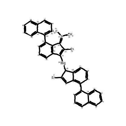 CCC1=Cc2c(-c3cccc4ccccc34)cccc2[CH]1[Mg][C]1=C(CC)C(=[Si](C)C)c2c1cccc2-c1cccc2ccccc12